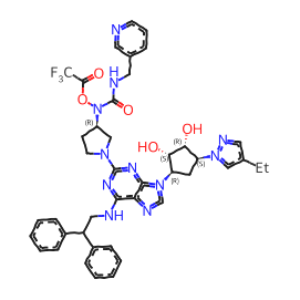 CCc1cnn([C@H]2C[C@@H](n3cnc4c(NCC(c5ccccc5)c5ccccc5)nc(N5CC[C@@H](N(OC(=O)C(F)(F)F)C(=O)NCc6cccnc6)C5)nc43)[C@H](O)[C@@H]2O)c1